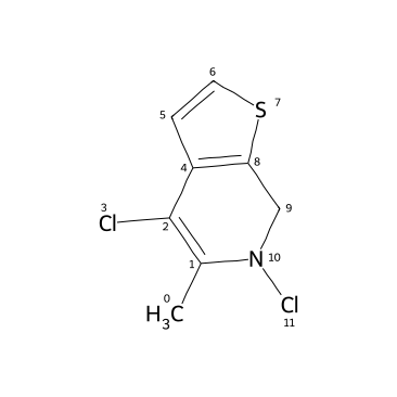 CC1=C(Cl)c2ccsc2CN1Cl